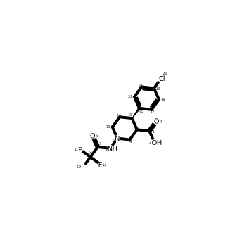 O=C(O)C1CN(NC(=O)C(F)(F)F)CC[C@H]1c1ccc(Cl)cc1